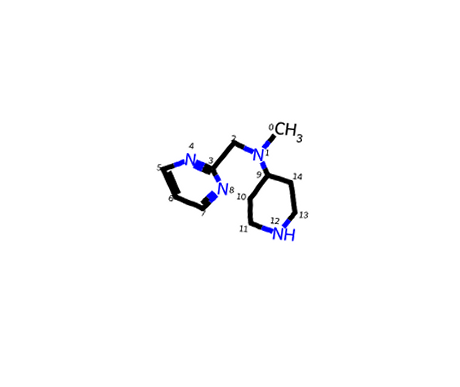 CN(Cc1ncccn1)C1CCNCC1